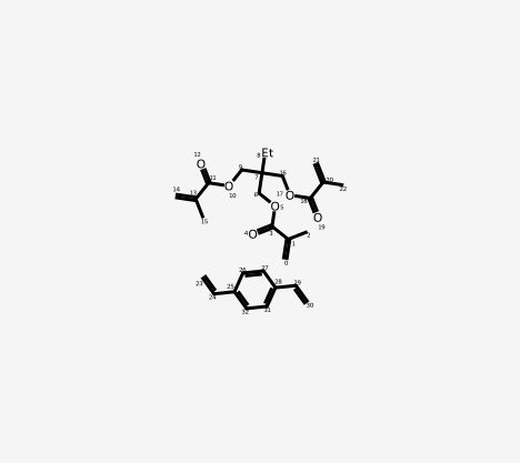 C=C(C)C(=O)OCC(CC)(COC(=O)C(=C)C)COC(=O)C(=C)C.C=Cc1ccc(C=C)cc1